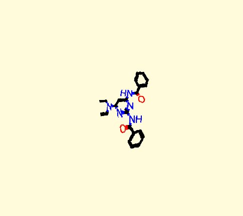 CCN(CC)c1cc(NC(=O)c2ccccc2)nc(NC(=O)c2ccccc2)n1